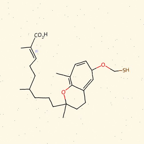 CC1=C2OC(C)(CCCC(C)CC/C=C(\C)C(=O)O)CCC2=CC(OCS)C=C1